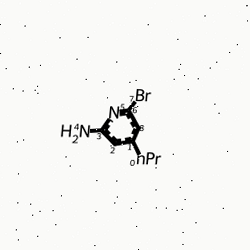 CCCc1cc(N)nc(Br)c1